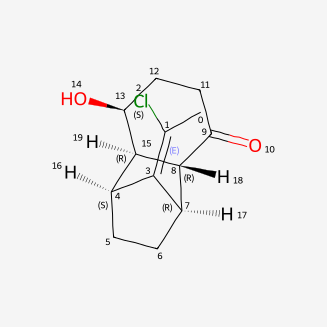 C/C(Cl)=C1/[C@H]2CC[C@@H]1[C@H]1C(=O)CC[C@H](O)[C@@H]12